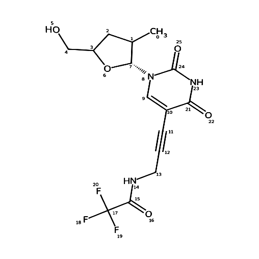 CC1CC(CO)O[C@H]1n1cc(C#CCNC(=O)C(F)(F)F)c(=O)[nH]c1=O